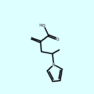 C=C(CC(C)n1cccc1)C(=O)O